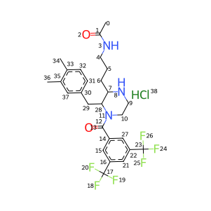 CC(=O)NCCCC1NCCN(C(=O)c2cc(C(F)(F)F)cc(C(F)(F)F)c2)C1Cc1ccc(C)c(C)c1.Cl